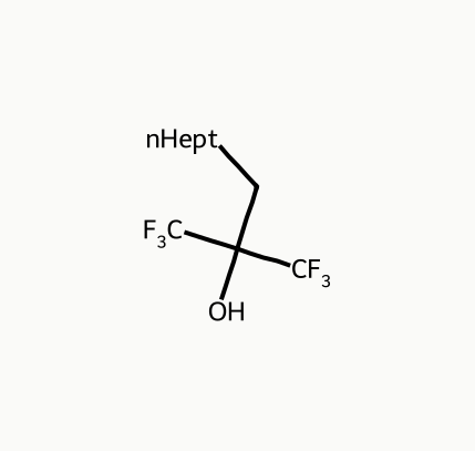 CCCCCCCCC(O)(C(F)(F)F)C(F)(F)F